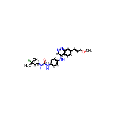 COCC=Cc1ccc2c(Nc3ccc(NC(=O)NCCC(C)(C)F)cc3)cnnc2c1